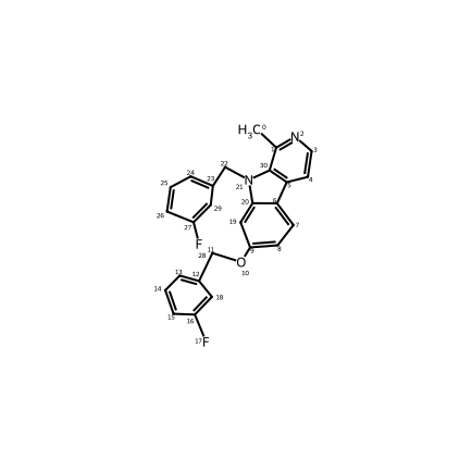 Cc1nccc2c3ccc(OCc4cccc(F)c4)cc3n(Cc3cccc(F)c3)c12